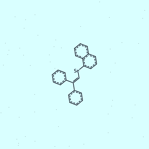 C([Se]c1cccc2ccccc12)=C(c1ccccc1)c1ccccc1